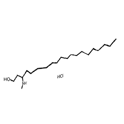 CCCCCCCCCCCCCCCCCC(CCO)NC.Cl